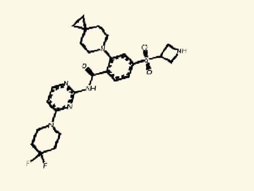 O=C(Nc1nccc(N2CCC(F)(F)CC2)n1)c1ccc(S(=O)(=O)C2CNC2)cc1N1CCC2(CC1)CC2